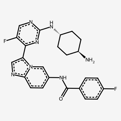 N[C@H]1CC[C@H](Nc2ncc(F)c(-c3cnc4ccc(NC(=O)c5ccc(F)cc5)cn34)n2)CC1